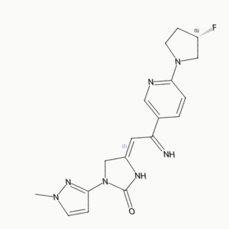 Cn1ccc(N2C/C(=C/C(=N)c3ccc(N4CC[C@H](F)C4)nc3)NC2=O)n1